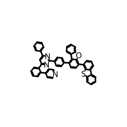 c1ccc(-c2cc(-c3ccccc3-c3ccncc3)nc(-c3ccc(-c4ccc(-c5cccc6c5sc5ccccc56)c5oc6ccccc6c45)cc3)n2)cc1